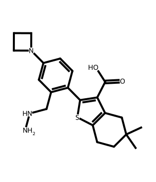 CC1(C)CCc2sc(-c3ccc(N4CCC4)cc3CNN)c(C(=O)O)c2C1